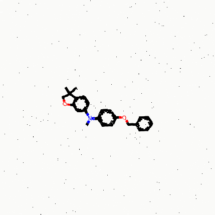 CN(c1ccc(OCc2ccccc2)cc1)c1ccc2c(c1)OCC2(C)C